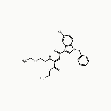 CCOCCN/C(=C\C(=O)c1cn(Cc2ccccc2)c2ccc(Cl)cc12)C(=O)OCC